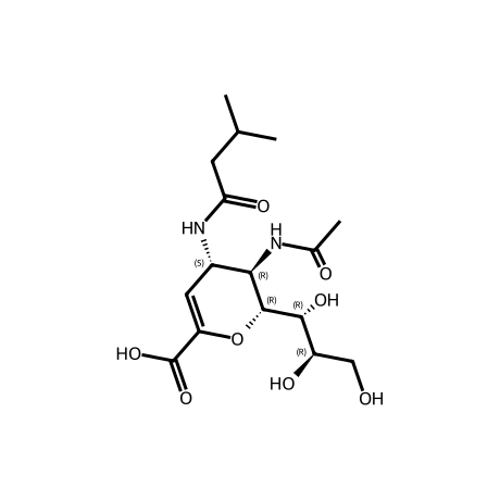 CC(=O)N[C@H]1[C@H]([C@H](O)[C@H](O)CO)OC(C(=O)O)=C[C@@H]1NC(=O)CC(C)C